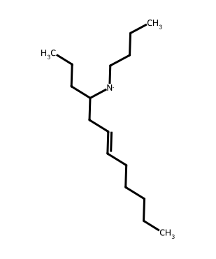 CCCCCC=CCC(CCC)[N]CCCC